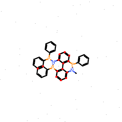 CN(C1CCCCC1C1CCCCC1N(P(c1ccccc1)c1ccccc1)P(c1ccccc1)c1ccccc1)P(c1ccccc1)c1ccccc1